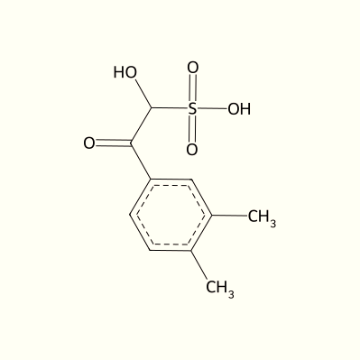 Cc1ccc(C(=O)C(O)S(=O)(=O)O)cc1C